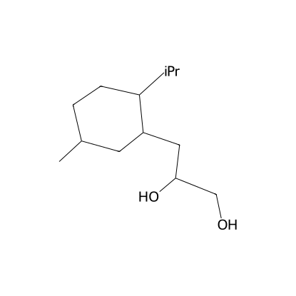 CC1CCC(C(C)C)C(CC(O)CO)C1